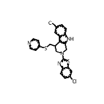 Clc1ccc2nc(N3Cc4[nH]c5ccc(Cl)cc5c4C(CSc4ccncc4)C3)sc2c1